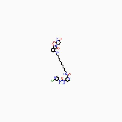 O=C1CCC(N2C(=O)c3cccc(NCCCCCCCCCCCCNC(=O)c4cc(NC(=O)Nc5ccnc(Cl)c5)ccn4)c3C2=O)C(=O)N1